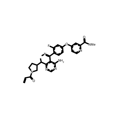 C=CC(=O)N1CCC(C(C)c2ncnc(N)c2/C(=N\C)c2ccc(Oc3ccnc(C(=O)NC)c3)cc2F)C1